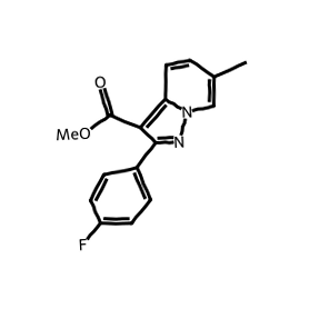 COC(=O)c1c(-c2ccc(F)cc2)nn2cc(C)ccc12